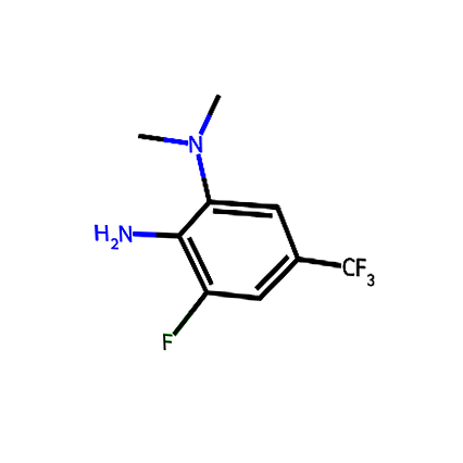 CN(C)c1cc(C(F)(F)F)cc(F)c1N